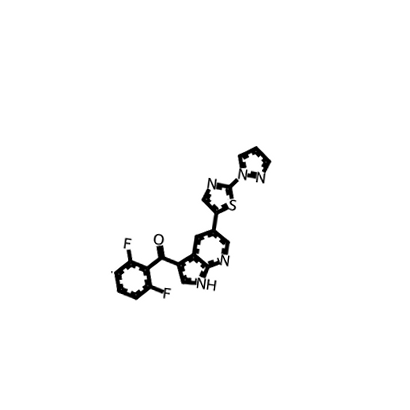 O=C(c1c(F)[c]ccc1F)c1c[nH]c2ncc(-c3cnc(-n4cccn4)s3)cc12